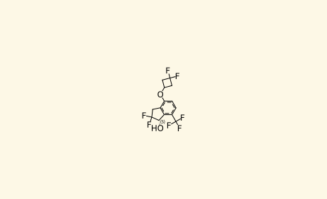 O[C@H]1c2c(C(F)(F)F)ccc(OC3CC(F)(F)C3)c2CC1(F)F